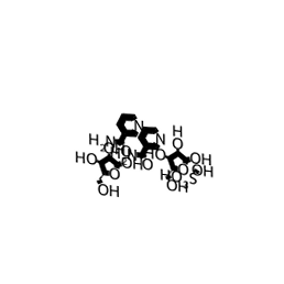 NC(=O)c1cccnc1.NC(=O)c1cccnc1.O=S(=O)(O)O.OC[C@H]1OC(O)[C@H](O)[C@@H]1O.OC[C@H]1OC(O)[C@H](O)[C@@H]1O